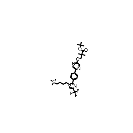 CC(C)(C)OC(=O)C(C)(C)COc1cnc(-c2ccc(-c3nc(C(F)(F)F)cn3CCCC[Si](C)(C)C)cc2)cn1